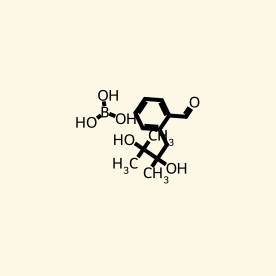 CC(C)(O)C(C)(O)Cc1ccccc1C=O.OB(O)O